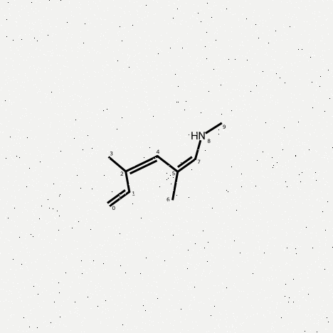 C=C/C(C)=C\C(C)=C/NC